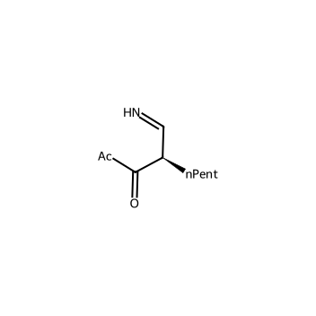 CCCCC[C@H](C=N)C(=O)C(C)=O